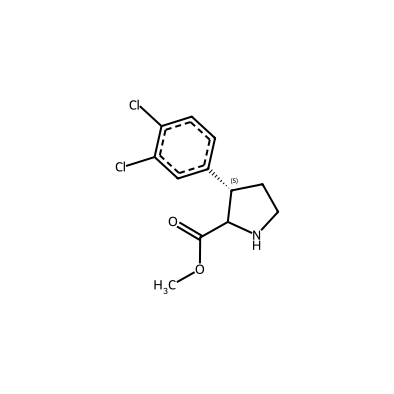 COC(=O)C1NCC[C@H]1c1ccc(Cl)c(Cl)c1